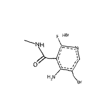 Br.CNC(=O)c1c(F)ncc(Br)c1N